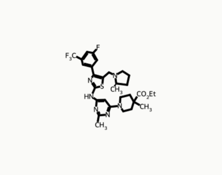 CCOC(=O)C1(C)CCN(c2cc(Nc3nc(-c4cc(F)cc(C(F)(F)F)c4)c(CN4CCC[C@H]4C)s3)nc(C)n2)CC1